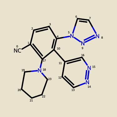 N#Cc1ccc(-n2ccnn2)c(-c2ccnnc2)c1N1CCCCC1